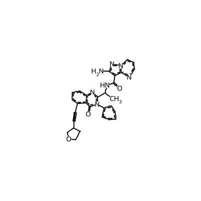 CC(NC(=O)c1c(N)nn2cccnc12)c1nc2cccc(C#CC3CCOC3)c2c(=O)n1-c1ccccc1